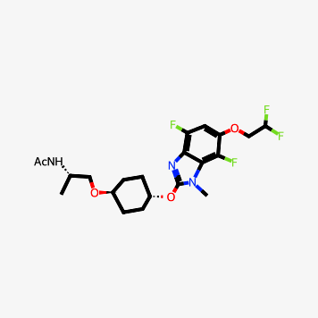 CC(=O)N[C@@H](C)CO[C@H]1CC[C@H](Oc2nc3c(F)cc(OCC(F)F)c(F)c3n2C)CC1